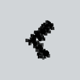 CCNc1nc(Cl)nc(NC(C)(C)C#N)n1.CCNc1nc(Cl)nc(NC(C)(C)C#N)n1.CCNc1nc(Cl)nc(NC(C)C)n1.CCSC(=O)N(CC(C)C)CC(C)C.CCSC(=O)N(CC(C)C)CC(C)C.COc1c(Cl)ccc(Cl)c1C(=O)O.COc1c(Cl)ccc(Cl)c1C(=O)O